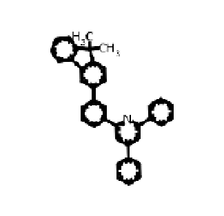 CC1(C)c2ccccc2-c2cc(-c3cccc(-c4cc(-c5ccccc5)cc(-c5ccccc5)n4)c3)ccc21